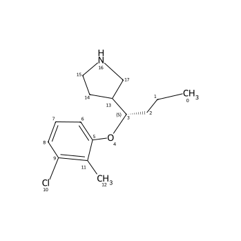 CCC[C@H](Oc1cccc(Cl)c1C)C1CCNC1